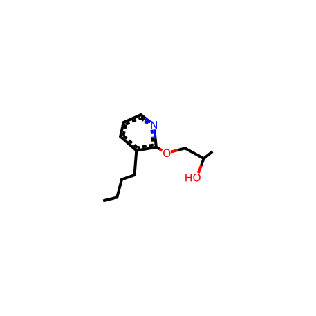 CCCCc1cccnc1OCC(C)O